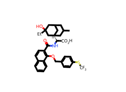 CCC1(O)CC2CC(C)C[C@](C(NC(=O)c3ccc4ccccc4c3OCc3ccc(SC(F)(F)F)cc3)C(=O)O)(C2)C1